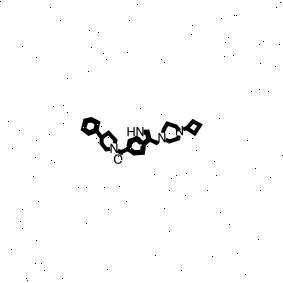 O=C(c1ccc2c(CN3CCCN(C4CCC4)CC3)c[nH]c2c1)N1CCC(c2ccccc2)CC1